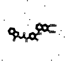 COc1cc2nccc(Nc3ccc(NC(=O)CN4Cc5ccccc5C4=O)cc3F)c2cc1OC